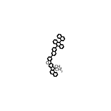 CC1(C)c2cc3c(cc2-c2ccc4ccccc4c21)oc1ccc(-c2ccc4cc(-c5c6ccccc6c(-c6cccc7ccccc67)c6ccccc56)ccc4c2)cc13